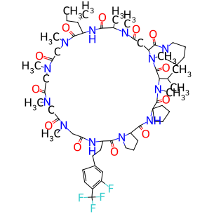 CC[C@H](C)C1NC(=O)C(C)N(C)C(=O)CC(C(=O)N2CCCCC2)N(C)C(=O)C(C(C)C)N(C)C(=O)C2(CCCC2)NC(=O)C2CCCN2C(=O)C(CCc2ccc(C(F)(F)F)c(F)c2)NC(=O)CN(C)C(=O)CN(C)C(=O)CN(C)C(=O)CN(C)C1=O